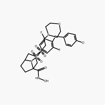 O=C(NO)C12CCC(CN(S(=O)(=O)CCN3CCOCC3)C1)N2S(=O)(=O)c1cc(F)c(Oc2ccc(Cl)cc2)c(F)c1